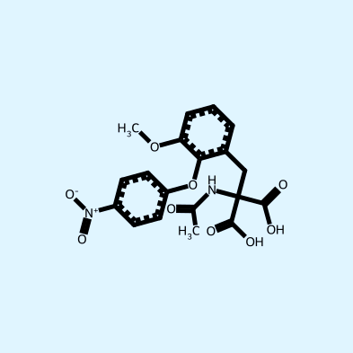 COc1cccc(CC(NC(C)=O)(C(=O)O)C(=O)O)c1Oc1ccc([N+](=O)[O-])cc1